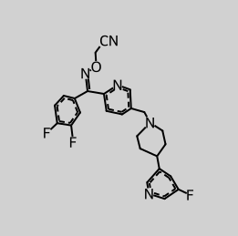 N#CCON=C(c1ccc(F)c(F)c1)c1ccc(CN2CCC(c3cncc(F)c3)CC2)cn1